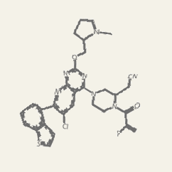 C=C(F)C(=O)N1CCN(c2nc(OCC3CCCN3C)nc3nc(-c4cccc5sccc45)c(Cl)cc23)CC1CC#N